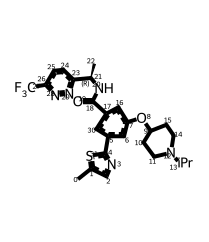 Cc1cnc(-c2cc(OC3CCN(C(C)C)CC3)cc(C(=O)N[C@H](C)c3ccc(C(F)(F)F)nn3)c2)s1